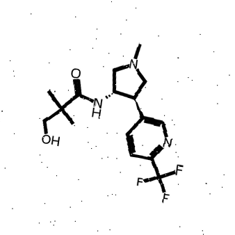 CN1C[C@@H](NC(=O)C(C)(C)CO)[C@H](c2ccc(C(F)(F)F)nc2)C1